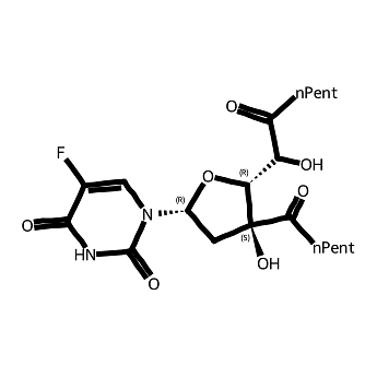 CCCCCC(=O)C(O)[C@H]1O[C@@H](n2cc(F)c(=O)[nH]c2=O)C[C@@]1(O)C(=O)CCCCC